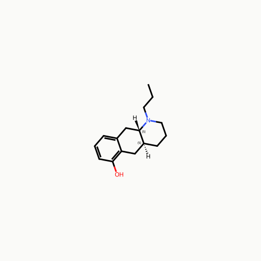 CCCN1CCC[C@H]2Cc3c(O)cccc3C[C@@H]21